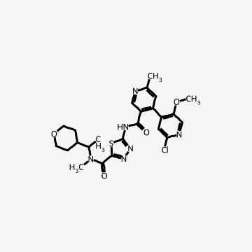 COc1cnc(Cl)cc1-c1cc(C)ncc1C(=O)Nc1nnc(C(=O)N(C)C(C)C2CCOCC2)s1